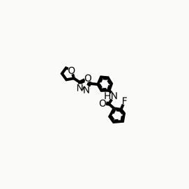 O=C(Nc1cccc(-c2nnc(C3CCCO3)o2)c1)c1ccccc1F